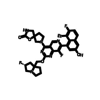 CCc1c(F)ccc2cc(O)cc(-c3ncc4c(N5CCC6(CNC(=O)O6)C5)nc(OCC56CCCN5C[C@H](F)C6)nc4c3F)c12